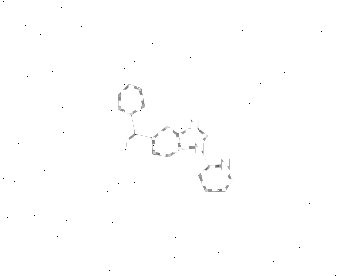 O=C(c1ccccc1)c1ccc2c(c1)ncn2-c1ccccn1